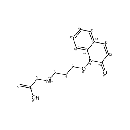 C=C(O)CNCCCOn1c(=O)ccc2ccccc21